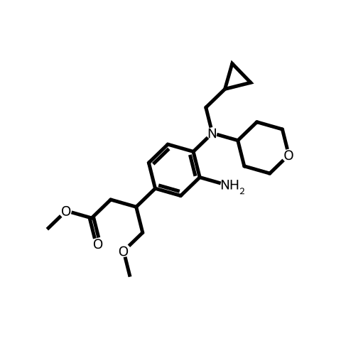 COCC(CC(=O)OC)c1ccc(N(CC2CC2)C2CCOCC2)c(N)c1